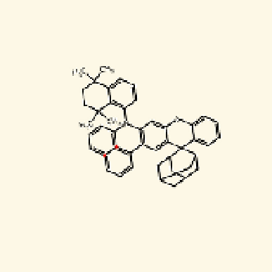 CC1(C)CCC(C)(C)c2c(N(c3ccccc3)c3cc4c(cc3-c3ccccc3)C3(c5ccccc5S4)C4CC5CC(C4)CC3C5)cccc21